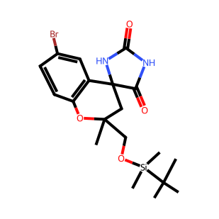 CC1(CO[Si](C)(C)C(C)(C)C)CC2(NC(=O)NC2=O)c2cc(Br)ccc2O1